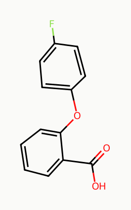 O=C(O)c1ccccc1Oc1ccc(F)cc1